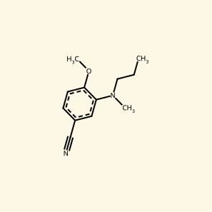 CCCN(C)c1cc(C#N)ccc1OC